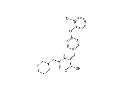 O=C(CC1CCCCC1)N/C(=C\c1ccc(Oc2ccccc2Br)cc1)C(=O)O